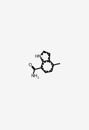 Cc1ccc(C(N)=O)c2[nH]ccc12